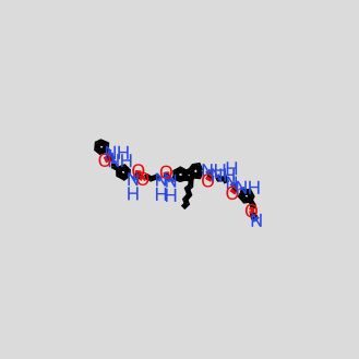 CCCCCCC1c2cc(NC(=O)NCCCNC(=O)Nc3ccc(COC#N)cc3)ccc2-c2ccc(NC(=O)NCCCOC(=O)Nc3ccc(CNC(=O)Nc4ccccc4)cc3)cc21